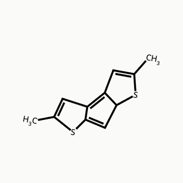 CC1=CC2=c3cc(C)sc3=CC2S1